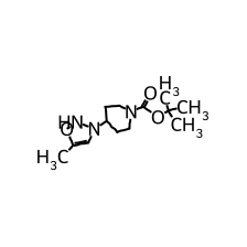 CC1=CN(C2CCN(C(=O)OC(C)(C)C)CC2)NO1